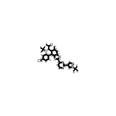 CC(=O)[C@@H](OC(C)(C)C)c1c(C)cc2nc(-c3ccnc(-c4cnn(C(C)(C)C)c4)n3)sc2c1-c1ccc(Cl)cc1